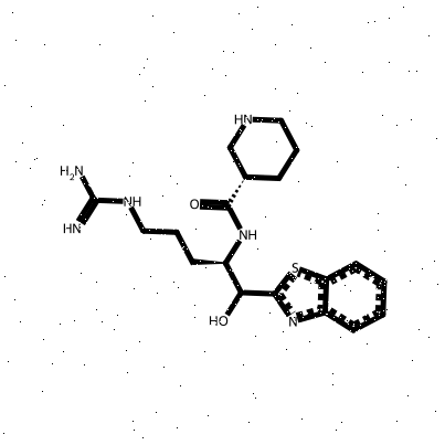 N=C(N)NCCC[C@@H](NC(=O)[C@H]1CCCNC1)C(O)c1nc2ccccc2s1